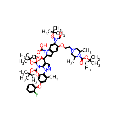 Cc1cc(Oc2ccccc2F)ccc1-n1ncc(C(=O)c2cc3cc(OCCN4CC(C)N(C(=O)OC(C)(C)C)C(C)C4)c(N(C=O)OC(C)(C)C)cc3n2C(=O)O)c1N(C(=O)OC(C)(C)C)C(=O)OC(C)(C)C